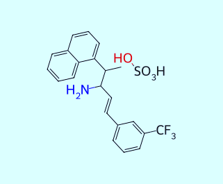 CC(c1cccc2ccccc12)C(N)C=Cc1cccc(C(F)(F)F)c1.O=S(=O)(O)O